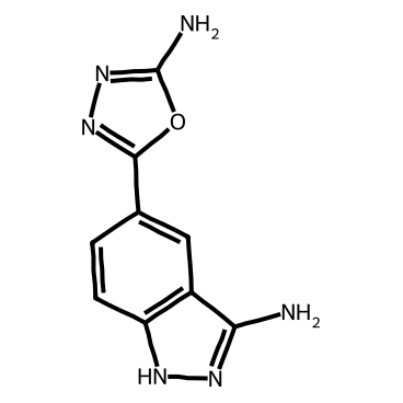 Nc1nnc(-c2ccc3[nH]nc(N)c3c2)o1